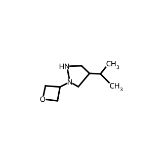 CC(C)C1CNN(C2COC2)C1